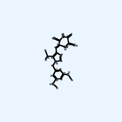 C=c1[nH]c(=O)c(=Cc2ncn(Cc3cc(OC)cc(OC)c3)c2C(C)C)[nH]c1=O